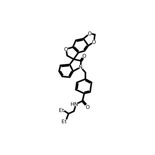 CCC(CC)CNC(=O)c1ccc(CN2C(=O)C3(COc4cc5c(cc43)OCO5)c3ccccc32)cc1